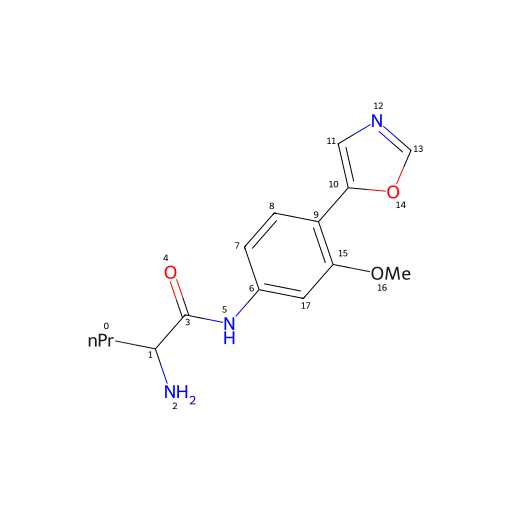 CCCC(N)C(=O)Nc1ccc(-c2cnco2)c(OC)c1